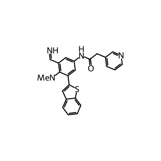 CNc1c(C=N)cc(NC(=O)Cc2cccnc2)cc1-c1cc2ccccc2s1